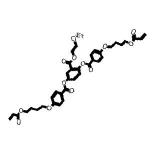 C=CC(=O)OCCCCOc1ccc(C(=O)Oc2ccc(OC(=O)c3ccc(OCCCCOC(=O)C=C)cc3)c(C(=O)OCCOCC)c2)cc1